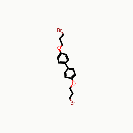 BrCCCOc1ccc(-c2ccc(OCCCBr)cc2)cc1